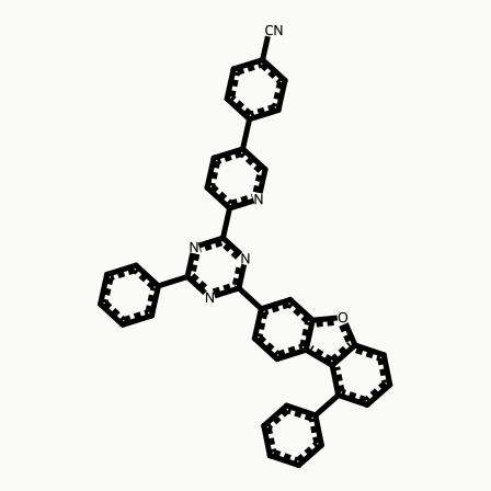 N#Cc1ccc(-c2ccc(-c3nc(-c4ccccc4)nc(-c4ccc5c(c4)oc4cccc(-c6ccccc6)c45)n3)nc2)cc1